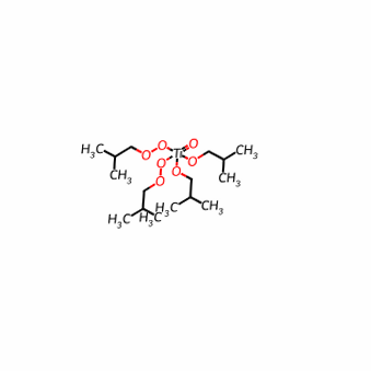 CC(C)CO[O][Ti](=[O])([O]CC(C)C)([O]CC(C)C)[O]OCC(C)C